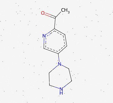 CC(=O)c1ccc(N2CCNCC2)cn1